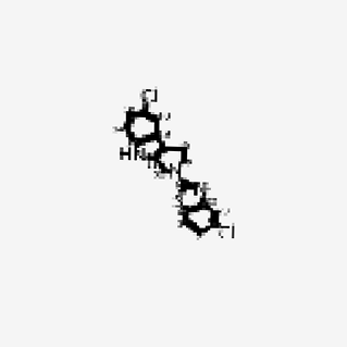 Clc1ccc2sc(N3CCc4c([nH]c5ccc(Cl)cc45)C3)nc2c1